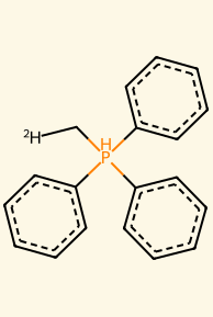 [2H]C[PH](c1ccccc1)(c1ccccc1)c1ccccc1